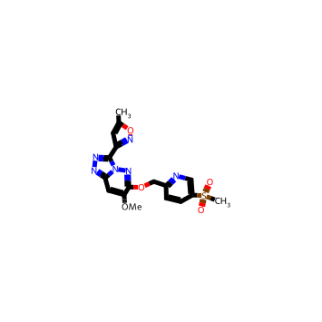 COc1cc2nnc(-c3cc(C)on3)n2nc1OCc1ccc(S(C)(=O)=O)cn1